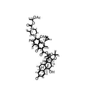 COc1c(N2CCN(C(=O)OC(C)OC(C)=O)C(C)C2)c(F)c(C)c2c(=O)c(C(=O)OC(C)(C)C(=O)[C@@]34OC(C)(C)O[C@@H]3C[C@H]3[C@@H]5CCC6=CC(=O)C=C[C@]6(C)[C@@]5(F)[C@@H](O)C[C@@]34C)c(C)n(C3CC3)c12